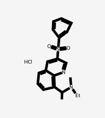 CCN(C)C(C)c1cccc2cc(S(=O)(=O)c3ccccc3)cnc12.Cl